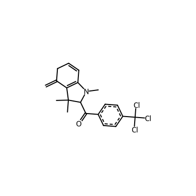 C=C1CC=CC2=C1C(C)(C)C(C(=O)c1ccc(C(Cl)(Cl)Cl)cc1)N2C